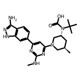 CNc1nc(-c2ccc3c(N)n[nH]c3c2)cc(N2C[C@H](C)C[C@@H](N(C(=O)O)C(C)(C)C)C2)n1